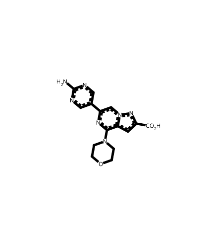 Nc1ncc(-c2cn3nc(C(=O)O)cc3c(N3CCOCC3)n2)cn1